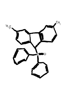 Cc1ccc2c(c1)-c1cc(C)ccc1C2P(=O)(c1ccccc1)c1ccccc1